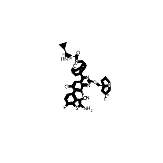 N#Cc1c(N)sc2c(F)ccc(-c3c(Cl)cc4c(C56CC7CN(C(=O)[C@@H]8N[C@H]8C8CC8)CC8CC5(C7)C86)nc(OC[C@@]56CCCN5C[C@H](F)C6)nc4c3F)c12